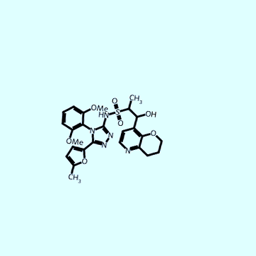 COc1cccc(OC)c1-n1c(NS(=O)(=O)C(C)C(O)c2ccnc3c2OCCC3)nnc1-c1ccc(C)o1